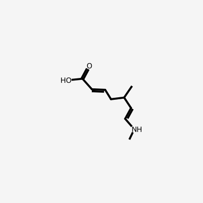 CN/C=C/C(C)C/C=C/C(=O)O